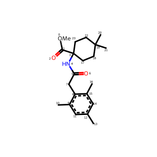 COC(=O)C1(NC(=O)Cc2c(C)cc(C)cc2C)CCC(C)(C)CC1